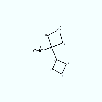 O=CC1(C2CCC2)COC1